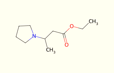 CCOC(=O)CC(C)N1CCCC1